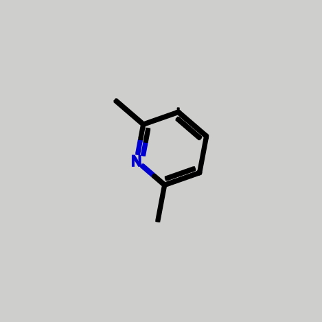 Cc1[c]ccc(C)n1